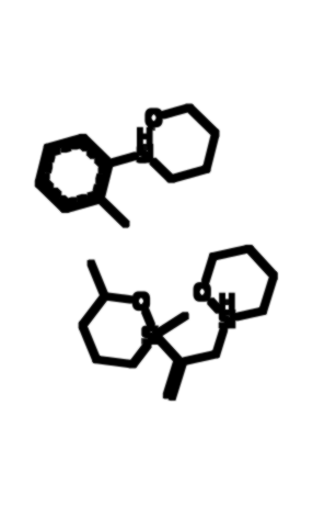 C=C(C[SiH]1CCCCO1)[Si]1(C)CCCC(C)O1.Cc1ccccc1[SiH]1CCCCO1